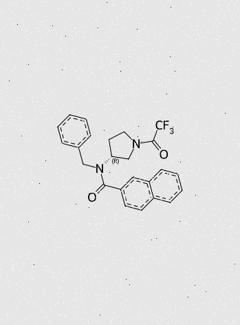 O=C(c1ccc2ccccc2c1)N(Cc1ccccc1)[C@@H]1CCN(C(=O)C(F)(F)F)C1